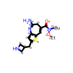 CCON(C(=O)C1=Cc2sc(CC3CNC3)cc2N=C(N)C1)C(C)CC